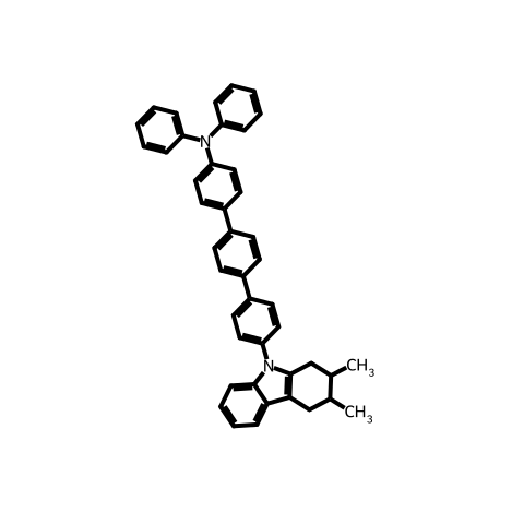 CC1Cc2c(n(-c3ccc(-c4ccc(-c5ccc(N(c6ccccc6)c6ccccc6)cc5)cc4)cc3)c3ccccc23)CC1C